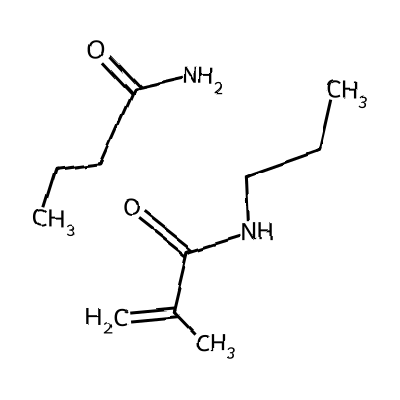 C=C(C)C(=O)NCCC.CCCC(N)=O